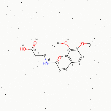 COc1ccc(/C=C\C(=O)NCCC(=O)O)cc1OC